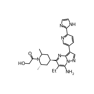 CCc1c([C@@H]2CC(C)N(C(=O)CO)[C@@H](C)C2)nc2c(-c3ccc(-c4ncc[nH]4)nc3)cnn2c1N